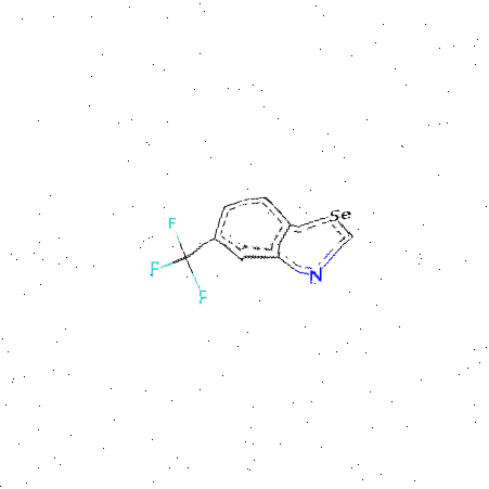 FC(F)(F)c1ccc2[se]cnc2c1